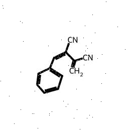 C=C(C#N)C(C#N)=Cc1ccccc1